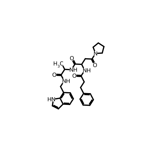 CC(NC(=O)C(CC(=O)N1CCCC1)NC(=O)CCc1ccccc1)C(=O)NCc1cccc2cc[nH]c12